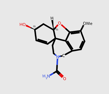 COc1ccc2c3c1O[C@H]1C[C@H](O)C=CC31CCN(C(N)=O)C2